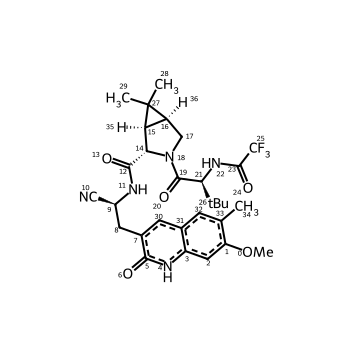 COc1cc2[nH]c(=O)c(C[C@@H](C#N)NC(=O)[C@@H]3[C@@H]4[C@H](CN3C(=O)[C@@H](NC(=O)C(F)(F)F)C(C)(C)C)C4(C)C)cc2cc1C